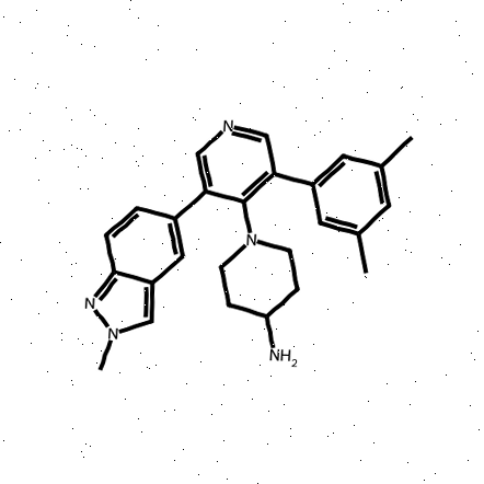 Cc1cc(C)cc(-c2cncc(-c3ccc4nn(C)cc4c3)c2N2CCC(N)CC2)c1